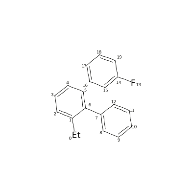 CCc1ccccc1-c1ccccc1.Fc1ccccc1